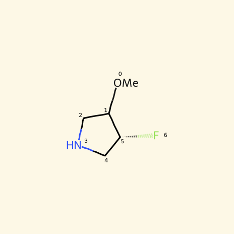 COC1CNC[C@H]1F